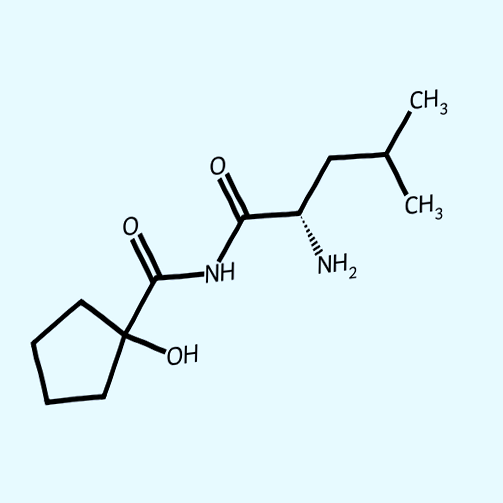 CC(C)C[C@H](N)C(=O)NC(=O)C1(O)CCCC1